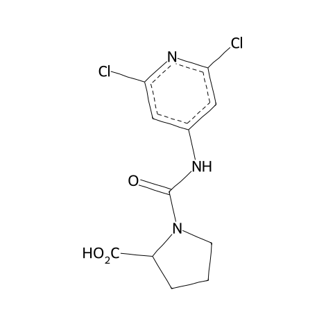 O=C(O)C1CCCN1C(=O)Nc1cc(Cl)nc(Cl)c1